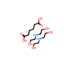 O=C(O)CCCCC(=O)O.OCCNCCO.OCCNCCO